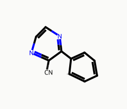 N#Cc1nccnc1-c1[c]cccc1